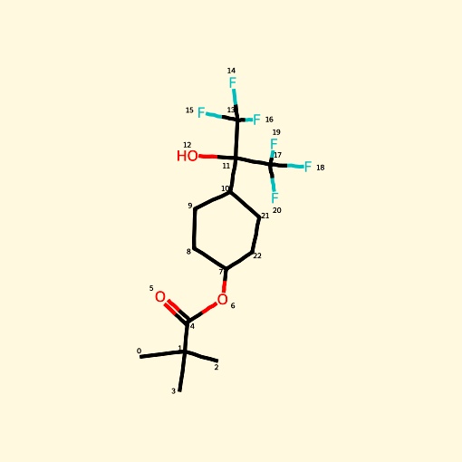 CC(C)(C)C(=O)OC1CCC(C(O)(C(F)(F)F)C(F)(F)F)CC1